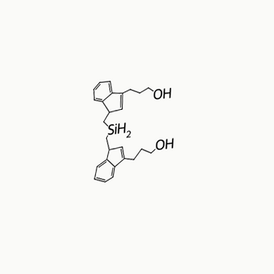 OCCCC1=CC(C[SiH2]CC2C=C(CCCO)c3ccccc32)c2ccccc21